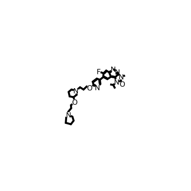 CC(C)n1c(=O)n(C)c2nnc3cc(F)c(-c4ccc(OCCCN5CCCC(OCCCN6CCCCC6)C5)nc4)cc3c21